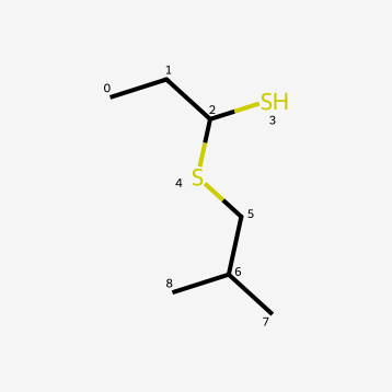 CCC(S)SCC(C)C